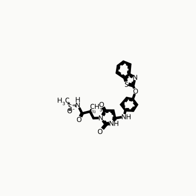 C[C@@H](Cn1c(=O)cc(Nc2ccc(Oc3nc4ccccc4s3)cc2)[nH]c1=O)C(=O)N[S+](C)[O-]